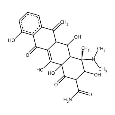 C=C1c2cccc(O)c2C(=O)C2=C(O)C3(O)C(=O)C(C(N)=O)C(O)[C@@](C)(N(C)C)C3C(O)C12